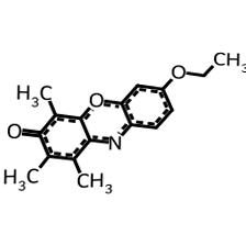 CCOc1ccc2nc3c(C)c(C)c(=O)c(C)c-3oc2c1